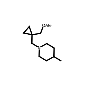 COCC1(CN2CCC(C)CC2)CC1